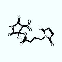 O=C(CCCN1C(=O)C=CC1=O)OC1(S(=O)(=O)O)C(=O)NC(=O)C1=S(=O)=O